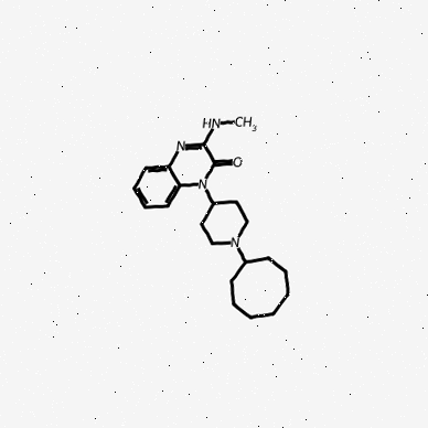 CNc1nc2ccccc2n(C2CCN(C3CCCCCCC3)CC2)c1=O